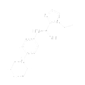 CCn1ccnc1C(=N)Nc1ccc(N2CCOCC2)cc1